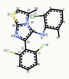 Cc1cccc(Cl)c1Nc1c(-c2c(F)cccc2F)nc2scc(C)n12